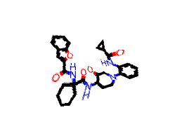 O=C(NC1(C(=O)NC2CCN(c3ccccc3NC(=O)C3CC3)CC2=O)CCCCC1)c1cc2ccccc2o1